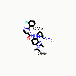 COCC(C)n1c(C)nc2c(N3CCC[C@H]3CN)c(NC(=O)c3ccnc(-c4c(F)cccc4OC)n3)ccc21